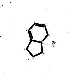 C1=CCC2CCCC2=C1.[Zr]